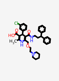 CC1=C(C(=O)O)C(c2cccc(Cl)c2)C(C(=O)NCCC(c2ccccc2)c2ccccc2)=C(COCCN2CCCCC2)N1